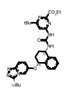 CCOC(=O)c1nc(NC(=O)N[C@H]2CC[C@@H](Oc3ccc4nnc([C@@H](C)CC)n4c3)c3ccccc32)cc(C(C)(C)C)n1